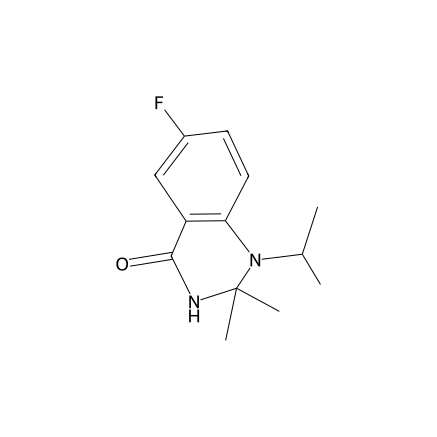 CC(C)N1c2ccc(F)cc2C(=O)NC1(C)C